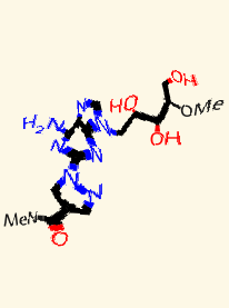 CNC(=O)c1cnn(-c2nc(N)c3ncn(C[C@H](O)[C@H](O)[C@@H](CO)OC)c3n2)c1